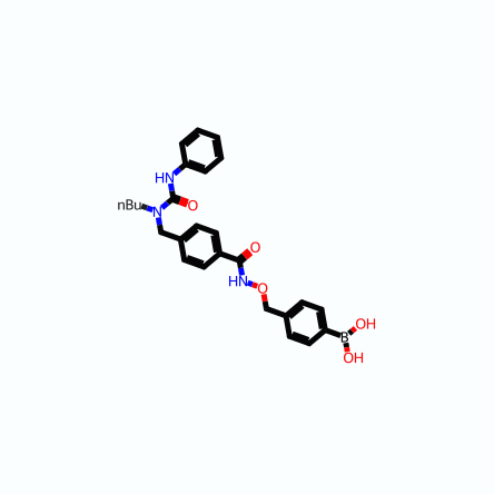 CCCCN(Cc1ccc(C(=O)NOCc2ccc(B(O)O)cc2)cc1)C(=O)Nc1ccccc1